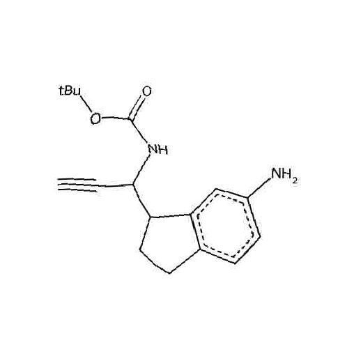 C#CC(NC(=O)OC(C)(C)C)C1CCc2ccc(N)cc21